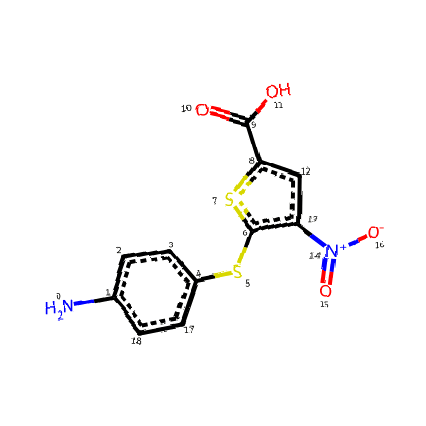 Nc1ccc(Sc2sc(C(=O)O)cc2[N+](=O)[O-])cc1